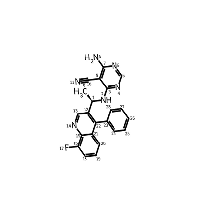 C[C@@H](Nc1ncnc(N)c1C#N)c1cnc2c(F)cccc2c1-c1ccccc1